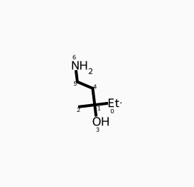 C[CH]C(C)(O)CCN